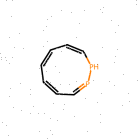 c1cccp[pH]ccc1